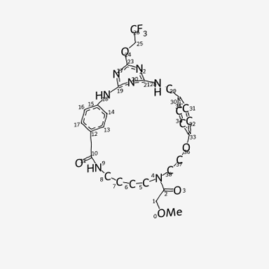 COCC(=O)N1CCCCNC(=O)c2ccc(cc2)Nc2nc(nc(OCC(F)(F)F)n2)NCc2ccc(cc2)OCC1